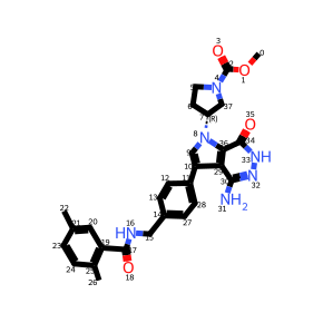 COC(=O)N1CC[C@@H](n2cc(-c3ccc(CNC(=O)c4cc(C)ccc4C)cc3)c3c(N)n[nH]c(=O)c32)C1